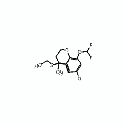 OCS[C@]1(O)CCOc2c(OC(F)F)cc(Cl)cc21